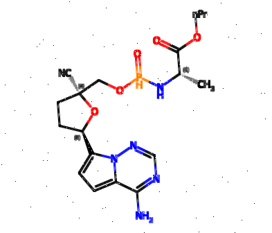 CCCOC(=O)[C@H](C)N[PH](=O)OC[C@]1(C#N)CC[C@H](c2ccc3c(N)ncnn23)O1